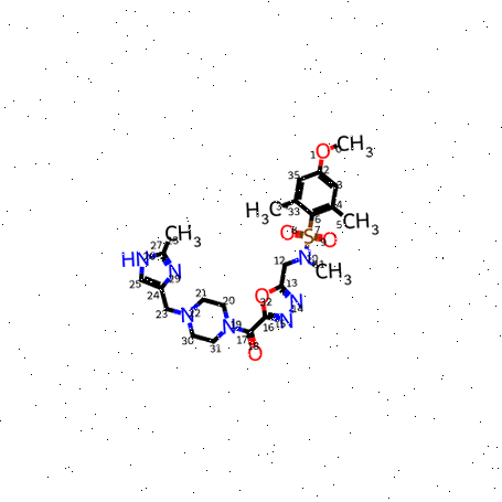 COc1cc(C)c(S(=O)(=O)N(C)Cc2nnc(C(=O)N3CCN(Cc4c[nH]c(C)n4)CC3)o2)c(C)c1